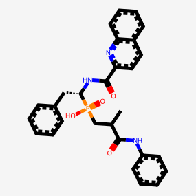 CC(CP(=O)(O)[C@H](Cc1ccccc1)NC(=O)c1ccc2ccccc2n1)C(=O)Nc1ccccc1